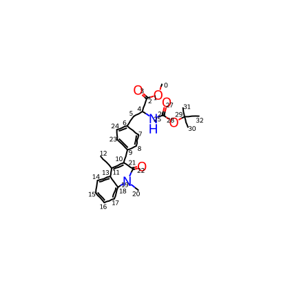 COC(=O)C(Cc1ccc(-c2c(C)c3ccccc3n(C)c2=O)cc1)NC(=O)OC(C)(C)C